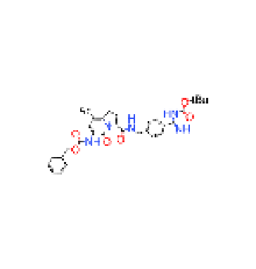 CC(=O)c1cc(NC(=O)OCc2ccccc2)c(=O)n2c1CC[C@H]2C(=O)NCc1ccc(C(=N)NC(=O)OC(C)(C)C)cc1